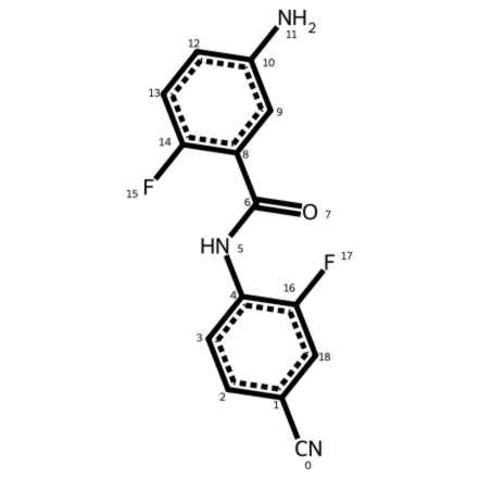 N#Cc1ccc(NC(=O)c2cc(N)ccc2F)c(F)c1